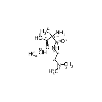 CN(C)CCNC(=O)C(C)(N)C(=O)O.Cl.Cl